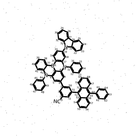 N#Cc1cc(-c2cc3c4c(c2)N(c2ccccc2)c2cc(-n5c6ccccc6c6ccccc65)ccc2B4c2ccccc2N3c2ccccc2)cc(-c2c3ccccc3c(-c3ccccc3)c3ccccc23)c1